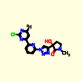 [2H]c1cc(-c2cccc(-n3cc([C@]4(O)CCN(C)C4=O)nn3)n2)nc(Cl)n1